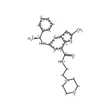 Cc1cc2nc(N[C@@H](C)c3cccnc3)nc(C(=O)NCCN3CCOCC3)c2s1